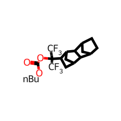 CCCCOC(=O)OC(C1CC2CC1C1C3CCC(C3)C21)(C(F)(F)F)C(F)(F)F